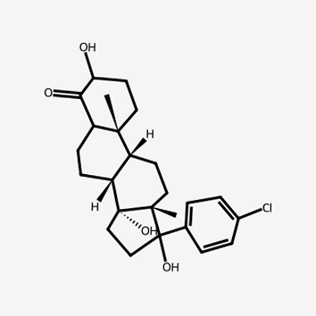 C[C@]12CCC(O)C(=O)C1CC[C@@H]1[C@H]2CC[C@]2(C)C(O)(c3ccc(Cl)cc3)CC[C@@]12O